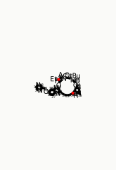 CC[C@@H]1[C@@H]2CN(C(=O)[C@H](C(C)(C)C)NC(=O)O[C@@H]3CC4C[C@@H]4[C@H]3CCCCCc3nc4ccc(OCc5cnccn5)cc4nc3O2)[C@@H]1C(C)=O